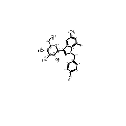 Cc1cc(F)c2c(c1)c([C@@H]1O[C@H](CO)[C@@H](O)[C@H](O)[C@H]1O)cn2Cc1ccc(Cl)cc1